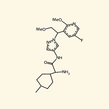 COCC(c1cc(F)cnc1OC)n1cc(NC(=O)C(N)C2CCC(C)CC2)cn1